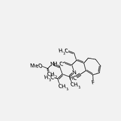 C#CC1=C(F)C=CCC/C1=C(C=C)/C(=C/C)/N=C(/C)C(/C=N\C(=C)OC)=C(C)C